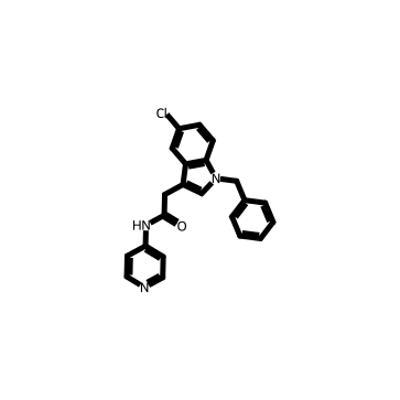 O=C(Cc1cn(Cc2ccccc2)c2ccc(Cl)cc12)Nc1ccncc1